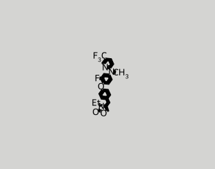 CCN1C(=O)OCC1Cc1ccc(Oc2ccc(N(C)c3ccc(C(F)(F)F)cn3)cc2F)cc1